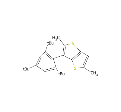 Cc1cc2sc(C)c(-c3c(C(C)(C)C)cc(C(C)(C)C)cc3C(C)(C)C)c2s1